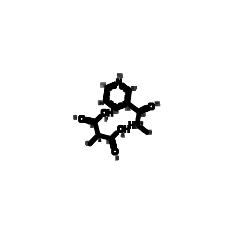 CC(C(=O)O)C(=O)O.CNC(=O)c1cccnc1